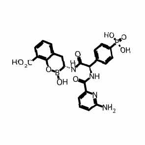 Nc1cccc(C(=O)N[C@@H](C(=O)N[C@H]2Cc3cccc(C(=O)O)c3OB2O)c2ccc(P(=O)(O)O)cc2)n1